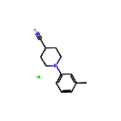 Cc1cccc(N2CCC(C#N)CC2)c1.Cl